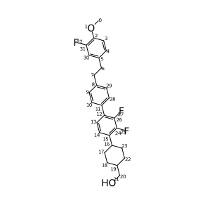 COc1ccc(CCc2ccc(-c3ccc(C4CCC(CO)CC4)c(F)c3F)cc2)cc1F